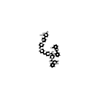 O=C1C[C@H](C(=O)N2CCC(Oc3ccccc3-c3nc4cccc(Cl)c4s3)(C(=O)N3CCC(CC4CCN(CC5CCN(c6ccc(C7CCC(=O)NC7O)cn6)CC5)CC4)CC3)CC2)c2ccccc2N1